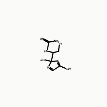 CCCCC1=NC(CCCC)(C(CC(C)C)NC(=N)N)N=C1